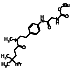 CCCC(C)(C)CCC(=O)N(C)CCc1ccc(NC(=O)CNC(=O)OC(C)(C)C)cc1